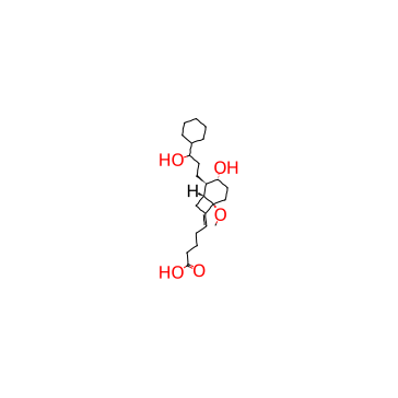 CO[C@]12CC[C@@H](O)[C@H](CCC(O)C3CCCCC3)[C@H]1CC2=CCCCC(=O)O